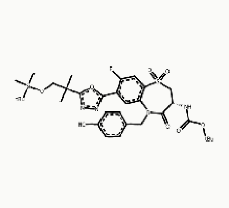 CC(C)(C)OC(=O)N[C@H]1CS(=O)(=O)c2cc(F)c(-c3nnc(C(C)(C)CO[Si](C)(C)C(C)(C)C)o3)cc2N(Cc2ccc(C#N)cc2)C1=O